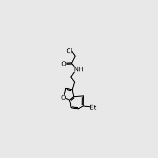 CCc1ccc2occ(CCNC(=O)CCl)c2c1